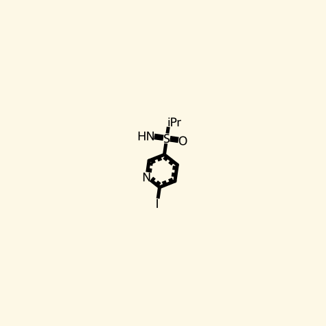 CC(C)S(=N)(=O)c1ccc(I)nc1